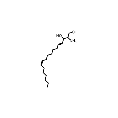 CCCCCC/C=C\CCCCC/C=C/C(O)C(N)CO